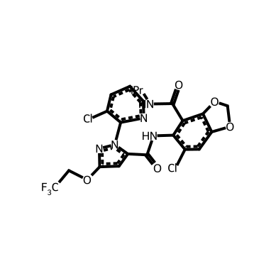 CC(C)NC(=O)c1c(NC(=O)c2cc(OCC(F)(F)F)nn2-c2ncccc2Cl)c(Cl)cc2c1OCO2